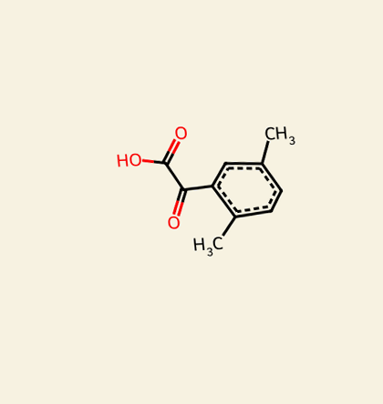 Cc1ccc(C)c(C(=O)C(=O)O)c1